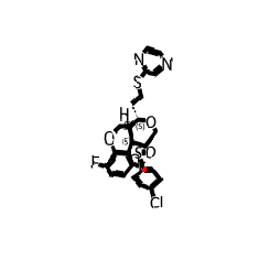 O=S(=O)(c1ccc(Cl)cc1)[C@@]12CCO[C@@H](CCSc3cnccn3)[C@@H]1COc1c(F)ccc(F)c12